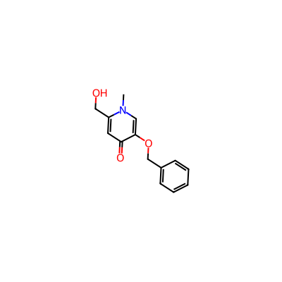 Cn1cc(OCc2ccccc2)c(=O)cc1CO